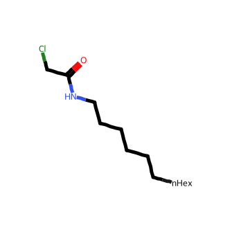 CCCCCCCCCCCCNC(=O)CCl